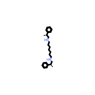 C[C@H](CNCCCCCCCNC[C@@H](C)c1ccccc1)c1ccccc1